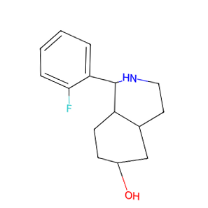 OC1CCC2C(CCNC2c2ccccc2F)C1